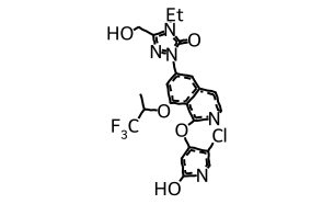 CCn1c(CO)nn(-c2cc(OC(C)C(F)(F)F)c3c(Oc4cc(O)ncc4Cl)nccc3c2)c1=O